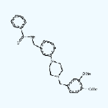 COc1ccc(CN2CCN(c3cccc(CNC(=O)c4ccccc4)c3)CC2)cc1OC